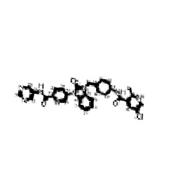 Cc1ncc(Cl)cc1C(=O)NC1CCC(Cn2c(=O)n(-c3ccc(C(=O)Nc4cncnc4)nc3)c3ccccc32)CC1